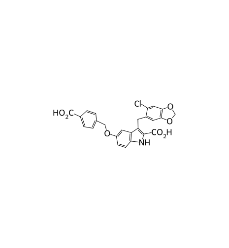 O=C(O)c1ccc(COc2ccc3[nH]c(C(=O)O)c(Cc4cc5c(cc4Cl)OCO5)c3c2)cc1